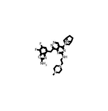 CN1CCN(CCNc2nc(N3CC4CCC(C3)N4)c3cnnc(Cc4cc(F)c(F)c5oc(N)nc45)c3n2)CC1